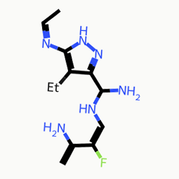 C=C(N)/C(F)=C\NC(N)c1n[nH]c(/N=C\C)c1CC